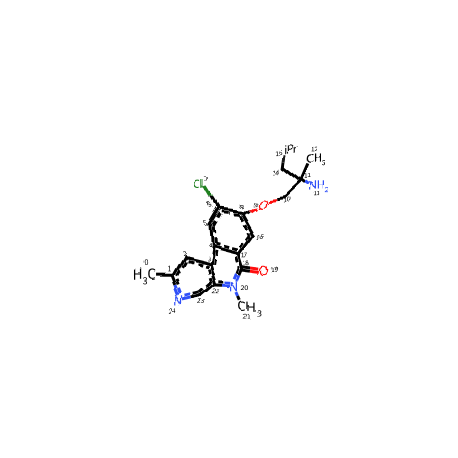 Cc1cc2c3cc(Cl)c(OCC(C)(N)CC(C)C)cc3c(=O)n(C)c2cn1